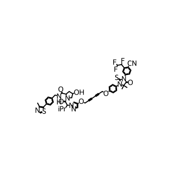 Cc1ncsc1-c1ccc(CNC(=O)C2CC(O)CN2C(=O)C(C(C)C)n2cc(OCC#CC#CCOc3ccc(N4C(=S)N(c5ccc(C#N)c(C(F)C(F)F)c5)C(=O)C4(C)C)cc3)cn2)cc1